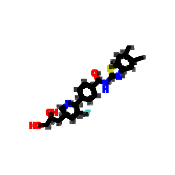 Cc1cc2nc(NC(=O)c3ccc(-c4ncc(CC(O)CO)cc4F)cc3)sc2cc1C